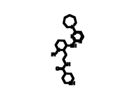 CC(C)N1CCCC(Nc2nccc(N3CCCCCC3)n2)C1CCNC(=O)C1CCNCC1